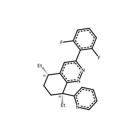 CC[C@H]1CC[C@](CC)(c2ccccn2)c2nnc(-c3c(F)cccc3F)cc21